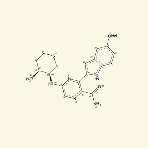 COc1ccc2[nH]c(-c3nc(N[C@@H]4CSCC[C@@H]4N)cnc3C(N)=O)cc2c1